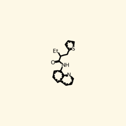 CCC(Cc1cccs1)C(=O)Nc1cccc2cccnc12